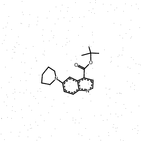 CC(C)(C)OC(=O)c1ccnc2ccc(N3CCCCC3)cc12